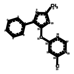 Cc1nc(-c2ccccc2)c(Oc2cc(Cl)ncn2)s1